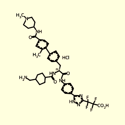 Cc1cc(C(=O)NC2CCN(C)CC2)ccc1-c1ccc(C[C@H](NC(=O)C2CCC(CN)CC2)C(=O)Nc2ccc(-c3nc(C(F)(F)C(F)(F)C(=O)O)n[nH]3)cc2)cc1.Cl